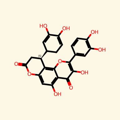 O=C1C[C@@H](C2C=C(O)C(O)=CC2)c2c(cc(O)c3c(=O)c(O)c(-c4ccc(O)c(O)c4)oc23)O1